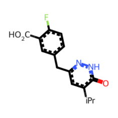 CC(C)c1cc(Cc2ccc(F)c(C(=O)O)c2)n[nH]c1=O